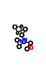 c1ccc(-c2ccccc2-c2cc(-c3cccc4oc5ccccc5c34)nc(-c3ccc4c(c3)-c3ccccc3C43c4ccccc4-c4ccccc4-c4ccccc43)n2)cc1